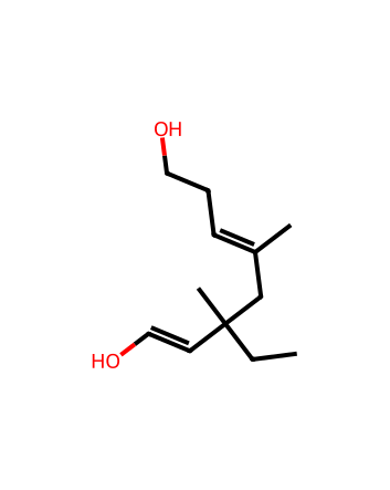 CCC(C)(C=CO)CC(C)=CCCO